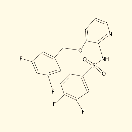 O=S(=O)(Nc1ncccc1OCc1cc(F)cc(F)c1)c1ccc(F)c(F)c1